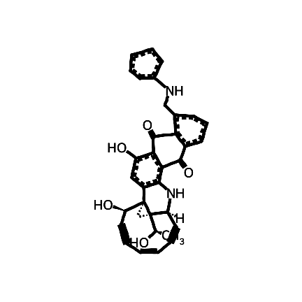 C[C@@H](O)[C@@]12C[C@]13c1cc(O)c4c(c1N[C@H]2C#C/C=C\C#C[C@H]3O)C(=O)c1cccc(CNc2ccccc2)c1C4=O